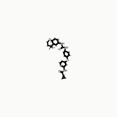 O=C(Nc1ccc(Oc2ccnc(NC(=O)C3CC3)c2)cc1)Nc1ccc2c(c1)C(F)(F)CCO2